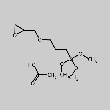 CC(=O)O.CO[Si](CCCOCC1CO1)(OC)OC